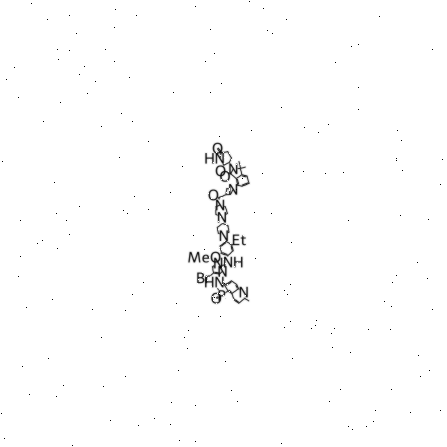 CCc1cc(Nc2ncc(Br)c(Nc3ccc4nc(C)ccc4c3P(C)(C)=O)n2)c(OC)cc1N1CCC(N2CCN(C(=O)C3CN(c4cccc5c4C(=O)N(C4CCC(=O)NC4=O)C5(C)C)C3)CC2)CC1